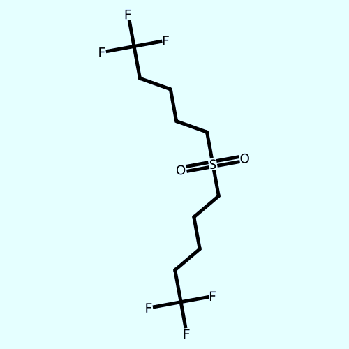 O=S(=O)(CCCCC(F)(F)F)CCCCC(F)(F)F